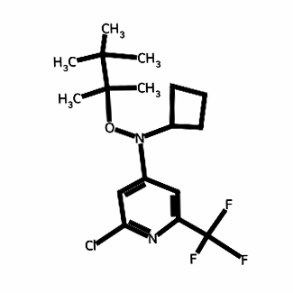 CC(C)(C)C(C)(C)ON(c1cc(Cl)nc(C(F)(F)F)c1)C1CCC1